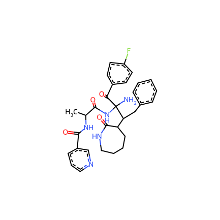 CC(NC(=O)c1cccnc1)C(=O)NC(N)(C(=O)c1ccc(F)cc1)C(Cc1ccccc1)C1CCCCNC1=O